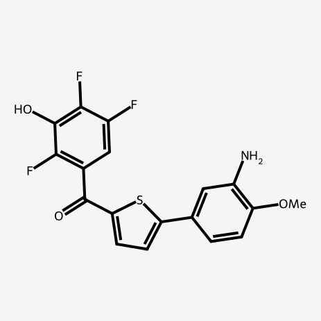 COc1ccc(-c2ccc(C(=O)c3cc(F)c(F)c(O)c3F)s2)cc1N